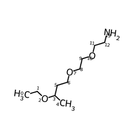 CCOC(C)CCOCCOCCN